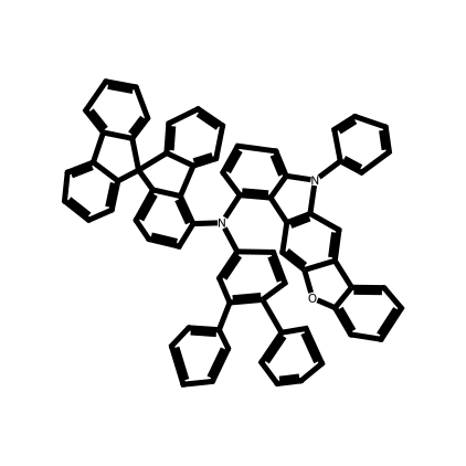 c1ccc(-c2ccc(N(c3cccc4c3-c3ccccc3C43c4ccccc4-c4ccccc43)c3cccc4c3c3cc5oc6ccccc6c5cc3n4-c3ccccc3)cc2-c2ccccc2)cc1